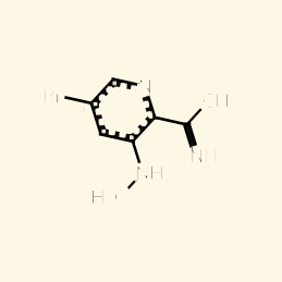 CNc1cc(Br)cnc1C(C)=N